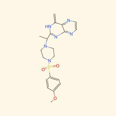 C=C1NC(C(C)N2CCN(S(=O)(=O)c3ccc(OC)cc3)CC2)=Nc2nccnc21